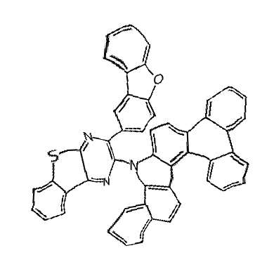 c1ccc2c(c1)ccc1c3c4c5ccccc5c5ccccc5c4ccc3n(-c3nc4c(nc3-c3ccc5oc6ccccc6c5c3)sc3ccccc34)c21